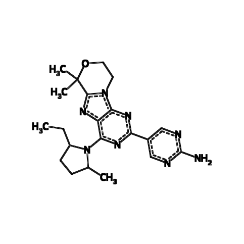 CCC1CCC(C)N1c1nc(-c2cnc(N)nc2)nc2c1nc1n2CCOC1(C)C